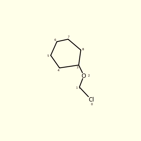 Cl[CH]OC1CCCCC1